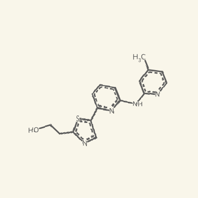 Cc1ccnc(Nc2cccc(-c3cnc(CCO)s3)n2)c1